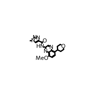 COc1ccc(C2CCOCC2)c2ncc(NC(=O)c3cn(C)nn3)nc12